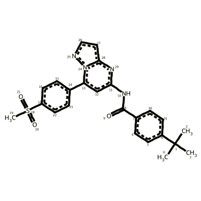 CC(C)(C)c1ccc(C(=O)Nc2cc(-c3ccc(S(C)(=O)=O)cc3)n3nccc3n2)cc1